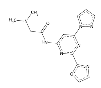 CN(C)CC(=O)Nc1cc(-n2cccn2)nc(-c2ncco2)n1